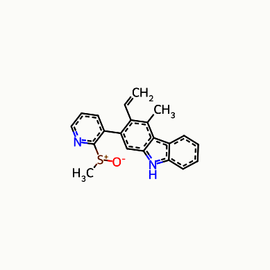 C=Cc1c(-c2cccnc2[S+](C)[O-])cc2[nH]c3ccccc3c2c1C